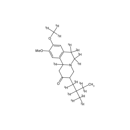 [2H]C([2H])([2H])Oc1cc2c(cc1OC)C1([2H])CC(=O)C(C([2H])([2H])C([2H])(C([2H])([2H])[2H])C([2H])([2H])C)CN1C([2H])([2H])C2([2H])[2H]